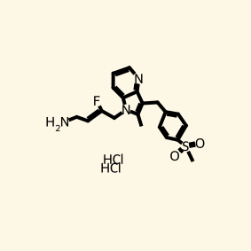 Cc1c(Cc2ccc(S(C)(=O)=O)cc2)c2ncccc2n1C/C(F)=C/CN.Cl.Cl